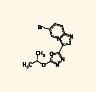 CC(C)Oc1nnc(-c2cnc3ccc(Br)cn23)o1